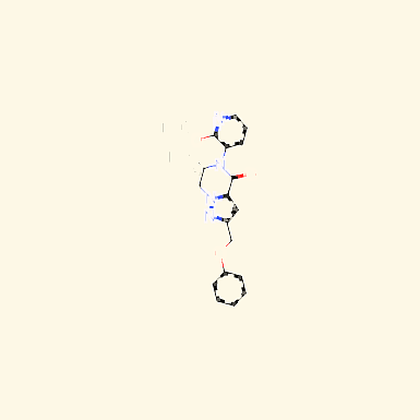 COc1ncccc1N1C(=O)c2cc(COc3ccccc3)nn2C[C@H]1C